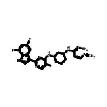 C=N/C=C\C(=N/C)N[C@H]1CCC[C@@H](Nc2nc(-c3c[nH]c4c(F)cc(F)cc34)ncc2F)C1